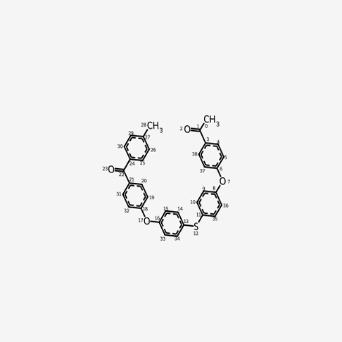 CC(=O)c1ccc(Oc2ccc(Sc3ccc(Oc4ccc(C(=O)c5ccc(C)cc5)cc4)cc3)cc2)cc1